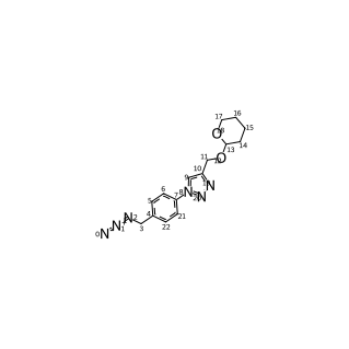 [N-]=[N+]=NCc1ccc(-n2cc(COC3CCCCO3)nn2)cc1